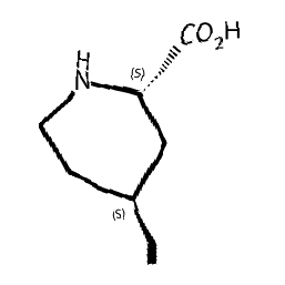 C[C@H]1CCN[C@H](C(=O)O)C1